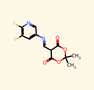 CC1(C)OC(=O)C(/C=N/c2cnc(F)c(F)c2)C(=O)O1